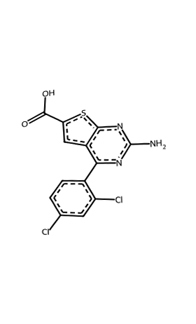 Nc1nc(-c2ccc(Cl)cc2Cl)c2cc(C(=O)O)sc2n1